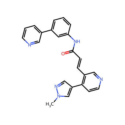 Cn1cc(-c2ccncc2/C=C/C(=O)Nc2cccc(-c3cccnc3)c2)cn1